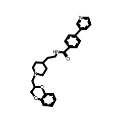 O=C(NCCC1CCN(CC2COc3ccccc3O2)CC1)c1ccc(-c2cccnc2)cc1